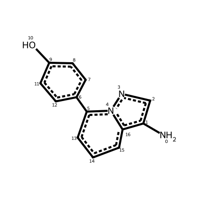 Nc1cnn2c(-c3ccc(O)cc3)cccc12